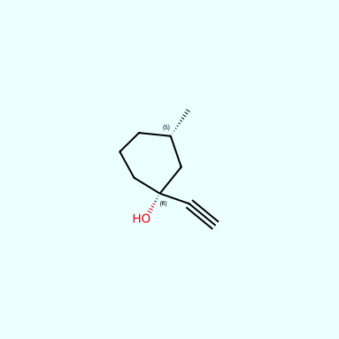 C#C[C@@]1(O)CCC[C@H](C)C1